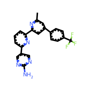 Cc1cc(-c2ccc(C(F)(F)F)cc2)cc(-c2cccc(-c3cnc(N)nc3)n2)n1